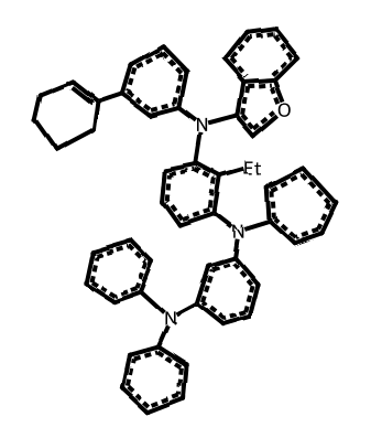 CCc1c(N(c2ccccc2)c2cccc(N(c3ccccc3)c3ccccc3)c2)cccc1N(c1cccc(C2=CCCCC2)c1)c1coc2ccccc12